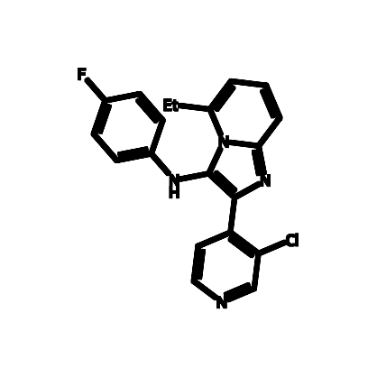 CCc1cccc2nc(-c3ccncc3Cl)c(Nc3ccc(F)cc3)n12